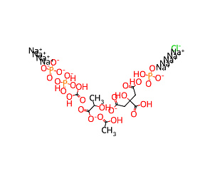 CC(=O)O.CC(O)C(=O)[O-].O=C(O)O.O=C([O-])CC(O)(CC(=O)O)C(=O)O.O=P([O-])(O)O.O=P([O-])([O-])O.O=P([O-])([O-])[O-].[Cl-].[Na+].[Na+].[Na+].[Na+].[Na+].[Na+].[Na+].[Na+].[Na+]